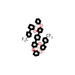 FC(F)(F)c1ccc(-c2cccc3c2Oc2c(-c4ccc(-c5ccc6c7c5Oc5c(-c8ccc(C(F)(F)F)cc8)ccc8c5B7c5c(cccc5O8)O6)cc4)ccc4c2B3c2ccccc2O4)cc1